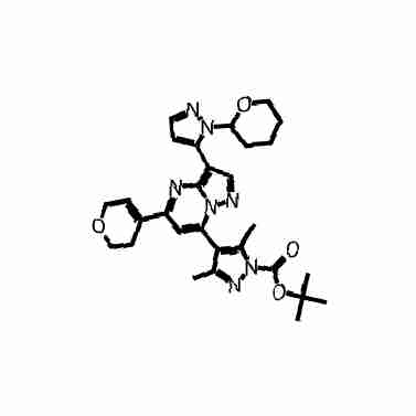 Cc1nn(C(=O)OC(C)(C)C)c(C)c1-c1cc(C2=CCOCC2)nc2c(-c3ccnn3C3CCCCO3)cnn12